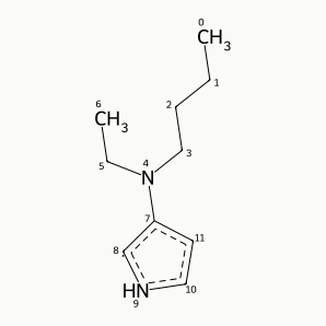 CCCCN(CC)c1[c][nH]cc1